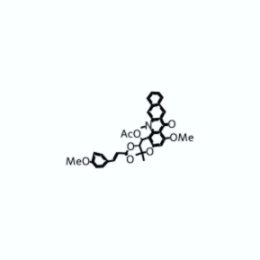 COc1ccc(C=CC(=O)O[C@H]2[C@@H](OC(C)=O)c3c(cc(OC)c4c(=O)c5cc6ccccc6cc5n(C)c34)OC2(C)C)cc1